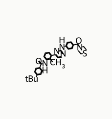 Cc1c(NC(=O)c2ccc(C(C)(C)C)cc2)cccc1-c1ccnc(Nc2ccc(C(=O)N3CCSCC3)cc2)n1